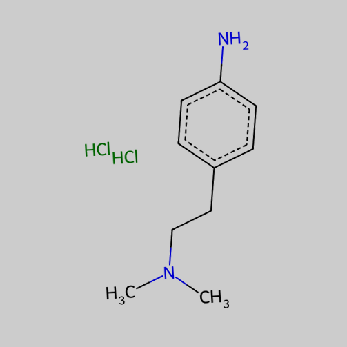 CN(C)CCc1ccc(N)cc1.Cl.Cl